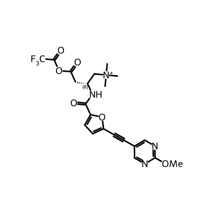 COc1ncc(C#Cc2ccc(C(=O)N[C@H](CC(=O)OC(=O)C(F)(F)F)C[N+](C)(C)C)o2)cn1